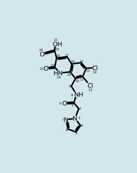 O=C(Cn1cccn1)NCc1c(Cl)c(Cl)cc2cc(C(=O)O)c(=O)[nH]c12